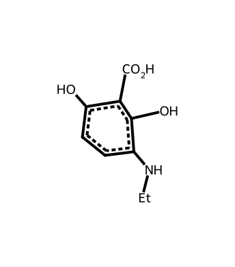 CCNc1ccc(O)c(C(=O)O)c1O